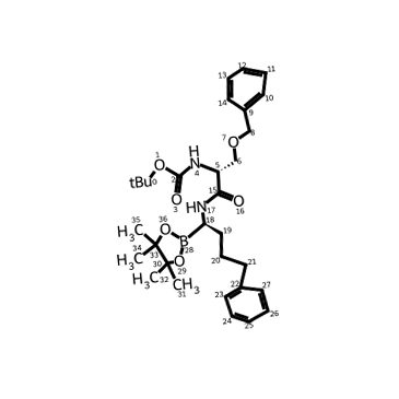 CC(C)(C)OC(=O)N[C@H](COCc1ccccc1)C(=O)N[C@@H](CCCc1ccccc1)B1OC(C)(C)C(C)(C)O1